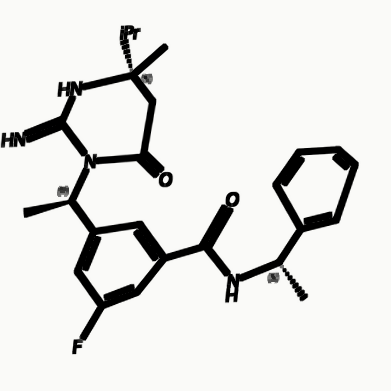 CC(C)[C@]1(C)CC(=O)N([C@H](C)c2cc(F)cc(C(=O)N[C@@H](C)c3ccccc3)c2)C(=N)N1